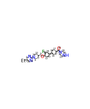 CCc1cnc(N2CCC(COc3ccc(C4=CCC(C(=O)N5CCNCC5)CC4)cc3F)CC2)nc1